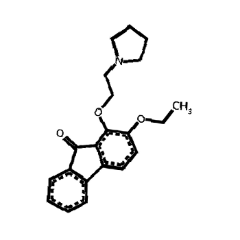 CCOc1ccc2c(c1OCCN1CCCC1)C(=O)c1ccccc1-2